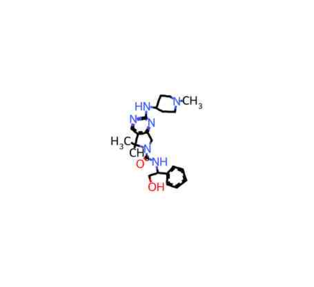 CN1CCC(Nc2ncc3c(n2)CN(C(=O)NC(CO)c2ccccc2)C3(C)C)CC1